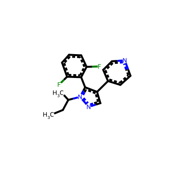 CCC(C)n1ncc(-c2ccncc2)c1-c1c(F)cccc1F